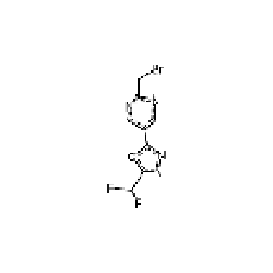 FC(F)c1nnc(-c2cnc(CBr)nc2)o1